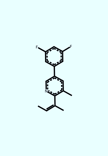 C/C=C(/C)c1ncc(-c2cc(F)cc(F)c2)cc1C